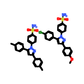 COc1ccc(-c2cc(-c3ccc(Cl)cc3)n(-c3ccc(S(N)(=O)=O)cc3)n2)cc1.Cc1ccc(-c2cc(-c3ccc(C)cc3)n(-c3ccc(S(N)(=O)=O)cc3)n2)cc1